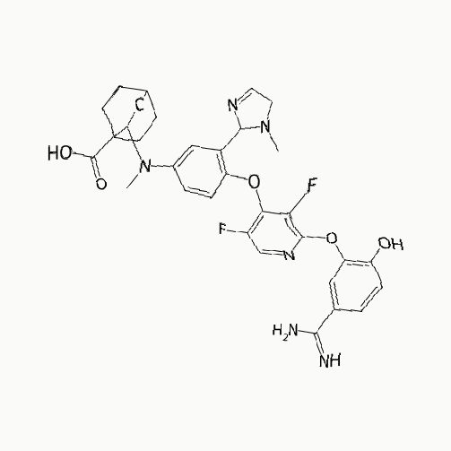 CN1CC=NC1c1cc(N(C)C2CC3CCC2(C(=O)O)CC3)ccc1Oc1c(F)cnc(Oc2cc(C(=N)N)ccc2O)c1F